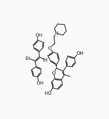 CC/C(=C(/CC)c1ccc(O)cc1)c1ccc(O)cc1.CC1=C(c2ccc(O)cc2)[C@H](c2ccc(OCCN3CCCCC3)cc2)Oc2cc(O)ccc21